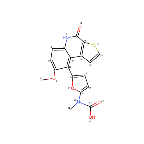 COc1ccc2[nH]c(=O)c3sccc3c2c1-c1ccc(N(C)C(=O)O)o1